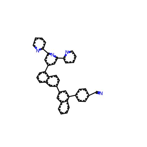 N#Cc1ccc(-c2cc(-c3ccc4c(-c5cc(-c6ccccn6)nc(-c6ccccn6)c5)cccc4c3)cc3ccccc23)cc1